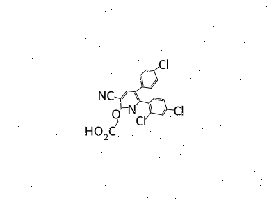 N#Cc1cc(-c2ccc(Cl)cc2)c(-c2ccc(Cl)cc2Cl)nc1OCC(=O)O